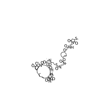 COc1cc2cc(c1Cl)N(C)C(=O)C[C@H](OC(=O)[C@H](C)N(C)C(=O)CCSC(=O)N(C)CCN(C)C(=O)OC1/C=C/CC(OCC(=O)NCCN3C(=O)CC(SC)C3=O)CCC1)[C@]1(C)O[C@H]1[C@H](C)[C@@H]1C[C@@](O)(NC(=O)O1)[C@H](OC)/C=C/C=C(\C)C2